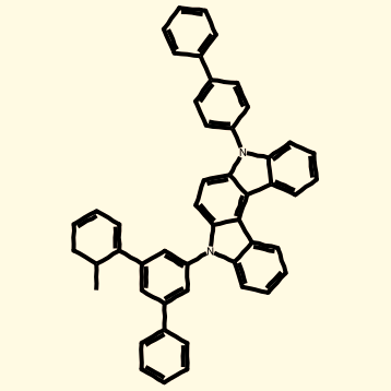 CC1CC=CC=C1c1cc(-c2ccccc2)cc(-n2c3ccccc3c3c4c5ccccc5n(-c5ccc(-c6ccccc6)cc5)c4ccc32)c1